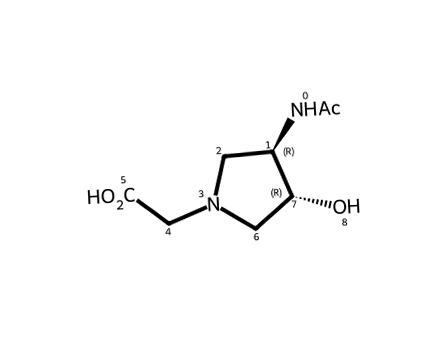 CC(=O)N[C@@H]1CN(CC(=O)O)C[C@H]1O